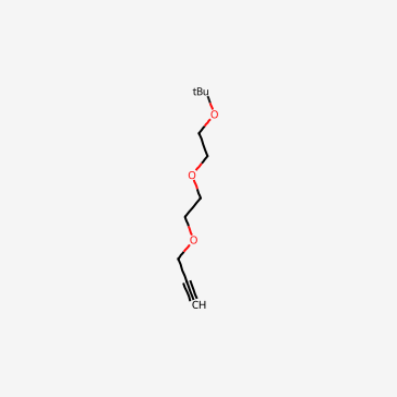 C#CCOCCOCCOC(C)(C)C